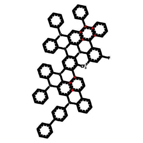 Fc1cc(F)c(N2c3cc(N(c4ccccc4)c4ccccc4)cc4c3B(c3ccccc3N4c3ccccc3)c3cc4c(c(C(F)(F)F)c32)Sc2cc(N(c3ccc(-c5ccccc5)cc3)c3ccccc3-c3ccccc3)cc3c2B4c2ccccc2N3c2ccccc2)c(-c2ccccc2)c1